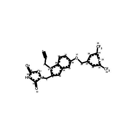 C#CCn1c(Cn2oc(=O)[nH]c2=O)cc2cc(OCc3cc(C(F)(F)F)cc(C(F)(F)F)c3)ccc21